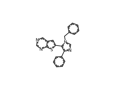 c1ccc(Cn2cnc(-c3ccccc3)c2-c2cc3cncnc3s2)cc1